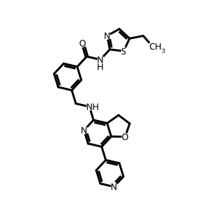 CCc1cnc(NC(=O)c2cccc(CNc3ncc(-c4ccncc4)c4c3CCO4)c2)s1